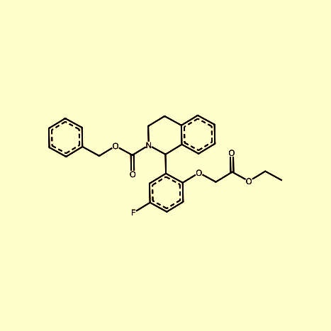 CCOC(=O)COc1ccc(F)cc1C1c2ccccc2CCN1C(=O)OCc1ccccc1